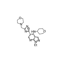 CCn1ncc2c(NC3CCOCC3)c(-c3nc(CN4CCOCC4)no3)cnc21